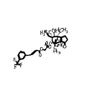 C=C[C@]1(C)C[C@@H](OC(=O)COC(=O)/C=C/c2cccc(C(F)(F)F)c2)[C@]2(C)[C@H](C)CC[C@]3(CCC(=O)[C@H]32)[C@@H](C)[C@@H]1O